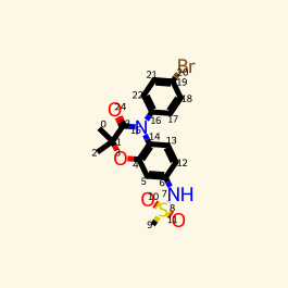 CC1(C)Oc2cc(NS(C)(=O)=O)ccc2N(c2ccc(Br)cc2)C1=O